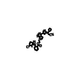 Cc1c(Cl)cccc1Nc1ccccc1C(=O)OCCn1ccc2c(-c3cnn(C(CC#N)C4CCCC4)c3)ncnc21